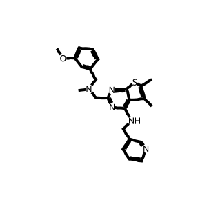 COc1cccc(CN(C)Cc2nc(NCc3cccnc3)c3c(C)c(C)sc3n2)c1